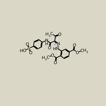 COC(=O)c1ccc(C(=O)OC)c(N/N=C(/C(C)=O)C(=O)Nc2ccc(S(=O)(=O)O)cc2)c1